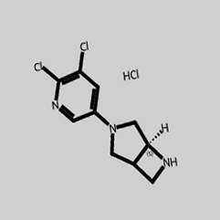 Cl.Clc1cc(N2CC3CN[C@@H]3C2)cnc1Cl